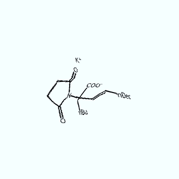 CCCCCCCCCCC=CC(CCCC)(C(=O)[O-])N1C(=O)CCC1=O.[K+]